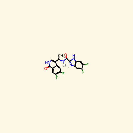 CC(c1c[nH]c(=O)c2cc(F)c(F)cc12)N(C)C(=O)c1nc2cc(F)c(F)cc2[nH]1